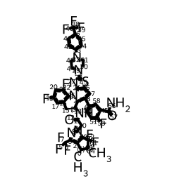 C[C@@H]1c2c(C(F)(F)F)nn(CC(=O)N[C@@H](Cc3cc(F)cc(F)c3)c3nc4nc(N5CCN(c6ccc(C(F)(F)F)cc6)CC5)sc4cc3-c3ccc(F)c(C(N)=O)c3)c2C(F)(F)[C@@H]1C